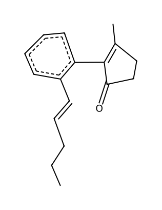 CCCC=Cc1ccccc1C1=C(C)CCC1=O